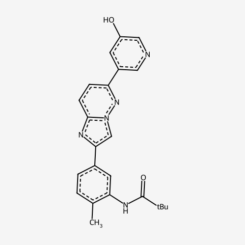 Cc1ccc(-c2cn3nc(-c4cncc(O)c4)ccc3n2)cc1NC(=O)C(C)(C)C